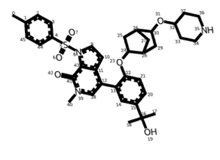 Cc1ccc(S(=O)(=O)n2ccc3c(-c4cc(C(C)(C)O)ccc4OC4CC5CC4CC5OC4CCNCC4)cn(C)c(=O)c32)cc1